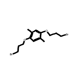 Cc1cc(OCCCBr)c(C)cc1OCCCBr